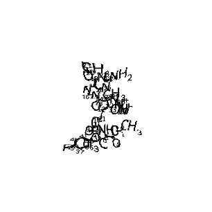 CCOC(=O)[C@H](C)NP(=O)(OC[C@H]1O[C@@H](n2cnc3c(OC)nc(N)nc32)[C@](C)(N=[N+]=[N-])[C@@H]1O)Oc1ccc(F)cc1